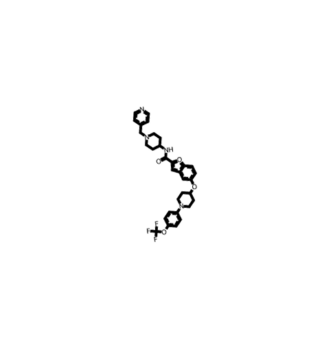 O=C(NC1CCN(Cc2ccncc2)CC1)c1cc2cc(OC3CCN(c4ccc(OC(F)(F)F)cc4)CC3)ccc2o1